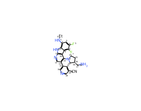 CCNc1cc(F)c(F)c2c1[nH]c1ncc(-c3cncc(C#N)c3)c(N3CC[C@@H](CN)C3)c12